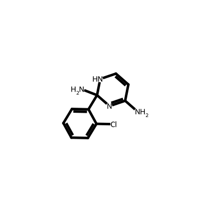 NC1=NC(N)(c2ccccc2Cl)NC=C1